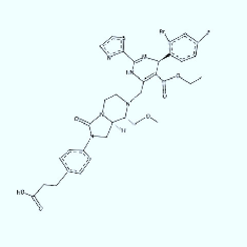 CCOC(=O)C1=C(CN2CCN3C(=O)N(c4ccc(CCC(=O)O)cc4)C[C@@H]3[C@H]2COC)NC(c2nccs2)=N[C@H]1c1ccc(F)cc1Br